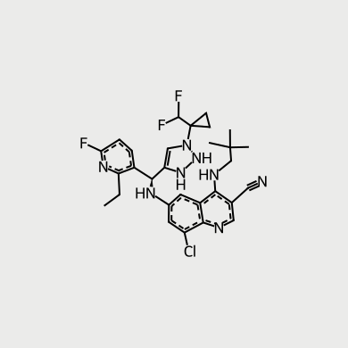 CCc1nc(F)ccc1[C@H](Nc1cc(Cl)c2ncc(C#N)c(NCC(C)(C)C)c2c1)C1=CN(C2(C(F)F)CC2)NN1